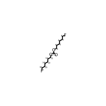 O=C(OCCCCCCF)OCCCCCCF